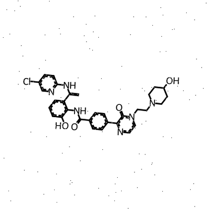 C=C(Nc1ccc(Cl)cn1)c1cccc(O)c1NC(=O)c1ccc(-c2nccn(CCN3CCC(O)CC3)c2=O)cc1